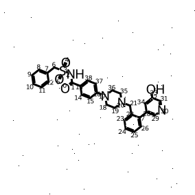 O=C(NS(=O)(=O)Cc1ccccc1)c1ccc(N2CCN(Cc3ccccc3-c3cncc(O)c3)CC2)cc1